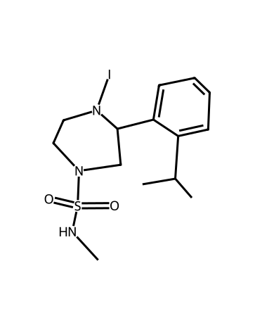 CNS(=O)(=O)N1CCN(I)C(c2ccccc2C(C)C)C1